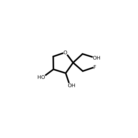 OCC1(CF)OCC(O)C1O